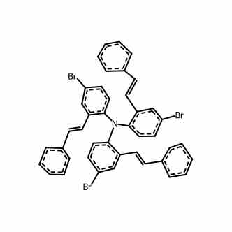 Brc1ccc(N(c2ccc(Br)cc2C=Cc2ccccc2)c2ccc(Br)cc2C=Cc2ccccc2)c(C=Cc2ccccc2)c1